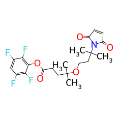 CC(C)(CCC(=O)Oc1c(F)c(F)cc(F)c1F)OCCC(C)(C)N1C(=O)C=CC1=O